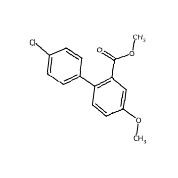 COC(=O)c1cc(OC)ccc1-c1ccc(Cl)cc1